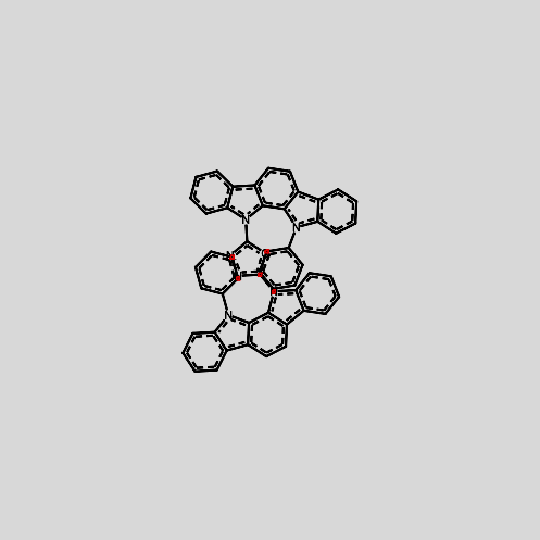 c1ccc(-n2c3ccccc3c3ccc4c5ccccc5n(-c5nnc(-n6c7ccccc7c7ccc8c9ccccc9n(-c9ccccc9)c8c76)o5)c4c32)cc1